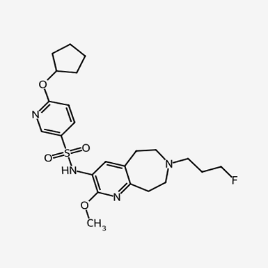 COc1nc2c(cc1NS(=O)(=O)c1ccc(OC3CCCC3)nc1)CCN(CCCF)CC2